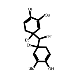 CCCC(C1(CC)C=C(C(C)(C)C)C(O)=CC1)C1(CC)C=C(C(C)(C)C)C(O)=CC1